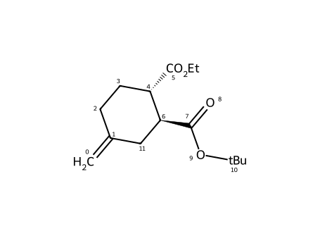 C=C1CC[C@H](C(=O)OCC)[C@@H](C(=O)OC(C)(C)C)C1